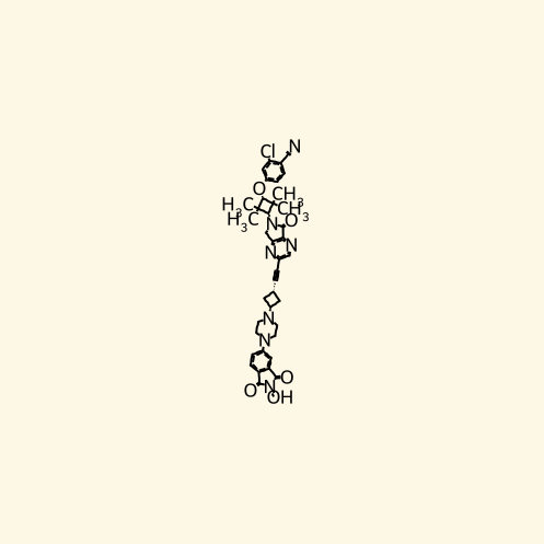 CC1(C)[C@H](Oc2ccc(C#N)c(Cl)c2)C(C)(C)[C@H]1N1Cc2nc(C#C[C@H]3C[C@H](N4CCN(c5ccc6c(c5)C(=O)N(O)C6=O)CC4)C3)cnc2C1=O